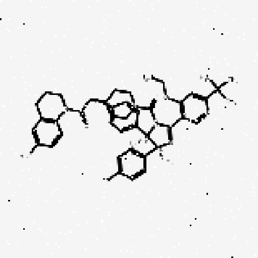 CCOc1cc(C(C)(C)C)ncc1C1=N[C@@](C)(c2ccc(Cl)cc2)[C@@](C)(c2ccc(Cl)cc2)N1C(=O)N1CCC(CC(=O)N2CCCc3cc(C)ccc32)CC1